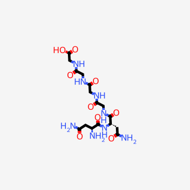 NC(=O)C[C@H](NC(=O)[C@@H](N)CC(N)=O)C(=O)NCC(=O)NCC(=O)NCC(=O)NCC(=O)O